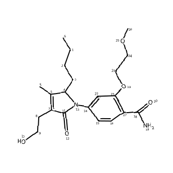 CCCCC1C(C)=C(CCO)C(=O)N1c1ccc(C(N)=O)c(OCCOC)c1